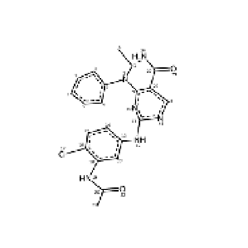 CCN(c1ccccc1)c1nc(Nc2ccc(Cl)c(NC(C)=O)c2)ncc1C(N)=O